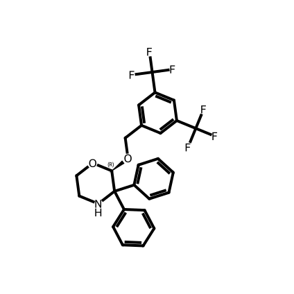 FC(F)(F)c1cc(CO[C@@H]2OCCNC2(c2ccccc2)c2ccccc2)cc(C(F)(F)F)c1